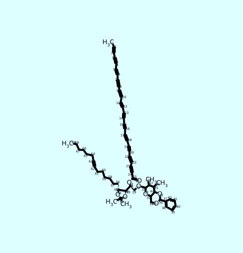 CC#CC#CC#CC#CC#CC#CC#CC#CC#CC#CC#CC#CC(=O)O[C@@H](COC1OC2COC(c3ccccc3)OC2C(C)C1C)[C@@H]1OC(C)(C)O[C@@H]1CCCCCCC#CCCCCCC